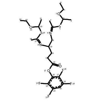 CCOC(C)SC(C)=NCC(CCC(=O)Oc1c(F)c(F)cc(F)c1F)N=C(C)SC(C)OCC